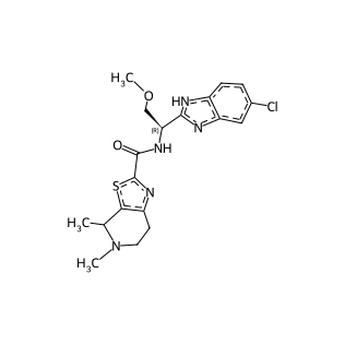 COC[C@H](NC(=O)c1nc2c(s1)C(C)N(C)CC2)c1nc2cc(Cl)ccc2[nH]1